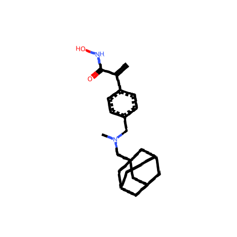 C=C(C(=O)NO)c1ccc(CN(C)CC23CC4CC(CC(C4)C2)C3)cc1